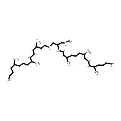 CC(C)CCCC(C)CCCC(C)CCCC(C)CCOCC(COC(C)(C)C)OCCC(C)CCCC(C)CCCC(C)CCCC(C)C